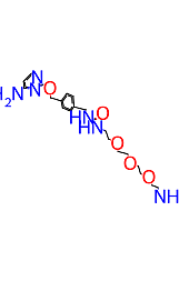 NCCOCCOCCOCCNC(=O)NCc1ccc(COc2nccc(N)n2)cc1